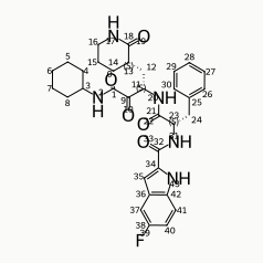 O=C(NC1CCCCC1)C(=O)[C@H](C[C@@H]1CCCNC1=O)NC(=O)[C@H](Cc1ccccc1)NC(=O)c1cc2cc(F)ccc2[nH]1